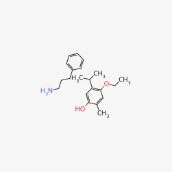 CCOc1cc(C)c(O)cc1C(C)C.NCCCc1ccccc1